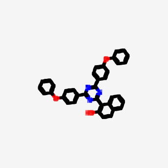 Oc1ccc2ccccc2c1-c1nc(-c2ccc(Oc3ccccc3)cc2)nc(-c2ccc(Oc3ccccc3)cc2)n1